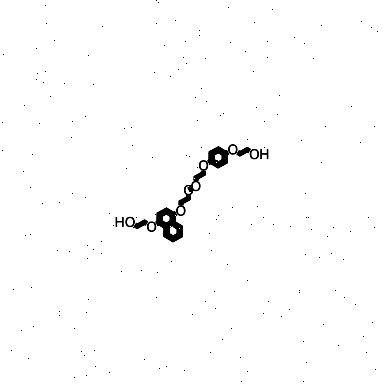 OCCOc1ccc(OCCOOCCOc2ccc(OCCO)c3ccccc23)cc1